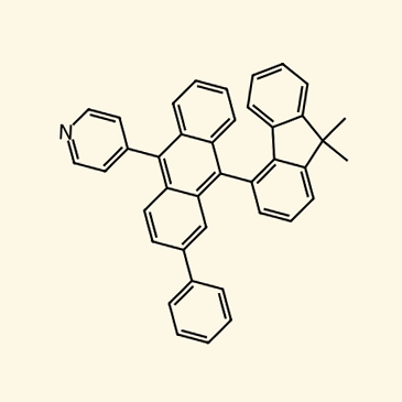 CC1(C)c2ccccc2-c2c(-c3c4ccccc4c(-c4ccncc4)c4ccc(-c5ccccc5)cc34)cccc21